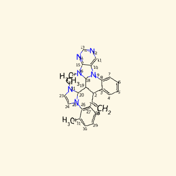 C=CC1c2ccccc2N2c3cncnc3N(C)C2C1C1N(C)C=CN1c1ccccc1C